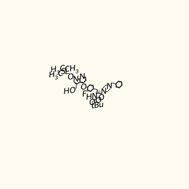 CC(C)(C)OC(=O)N[C@@H](Cc1ccc(Oc2ccnc3c2c(CO)cn3COCC[Si](C)(C)C)c(F)c1)C(=O)N1CCN(Cc2ccccc2)CC1